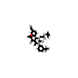 CC1=C(C(=O)C2CC2)[C@@H](c2ccc(C#N)cc2)N(CC(=O)OC(C)(C)C)C(=O)N1c1cccc(C(F)(F)F)c1